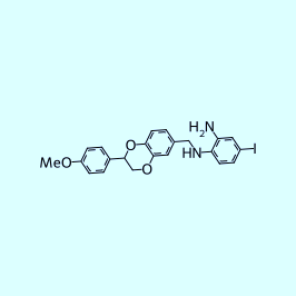 COc1ccc(C2COc3cc(CNc4ccc(I)cc4N)ccc3O2)cc1